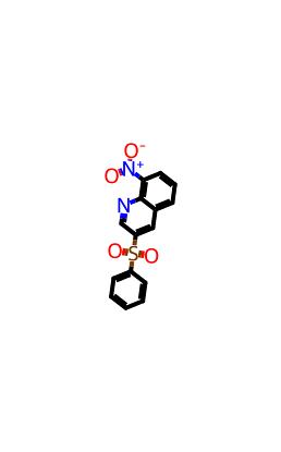 O=[N+]([O-])c1cccc2cc(S(=O)(=O)c3ccccc3)cnc12